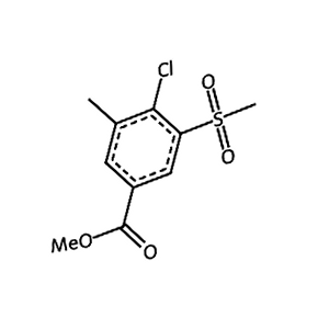 COC(=O)c1cc(C)c(Cl)c(S(C)(=O)=O)c1